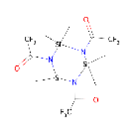 C[Si]1(C)N(C(=O)C(F)(F)F)[Si](C)(C)N(C(=O)C(F)(F)F)[Si](C)(C)N1C(=O)C(F)(F)F